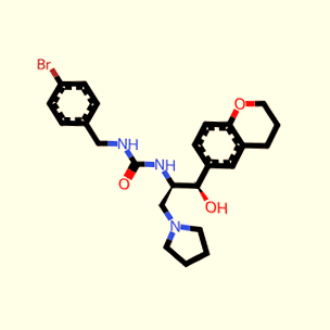 O=C(NCc1ccc(Br)cc1)N[C@H](CN1CCCC1)[C@H](O)c1ccc2c(c1)CCCO2